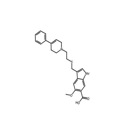 COc1cc2c(CSCCN3CC=C(c4ccccc4)CC3)c[nH]c2cc1C(=O)O